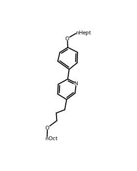 CCCCCCCCOCCCc1ccc(-c2ccc(OCCCCCCC)cc2)nc1